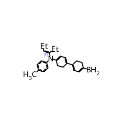 BC1=CC=C(C2=CC=C(N(/C(=C/CC)CC)c3ccc(C)cc3)CC2)CC1